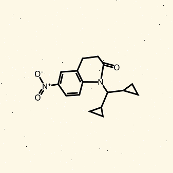 O=C1CCc2cc([N+](=O)[O-])ccc2N1C(C1CC1)C1CC1